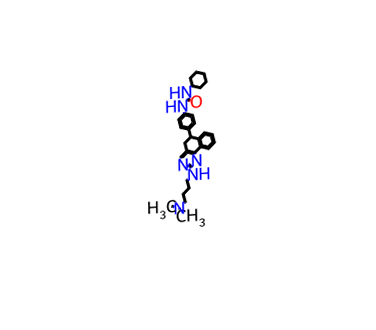 CN(C)CCCCNc1ncc2c(n1)-c1ccccc1C(c1ccc(NC(=O)NC3CCCCC3)cc1)C2